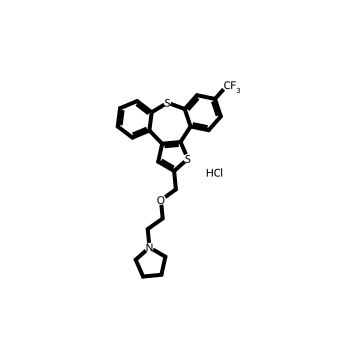 Cl.FC(F)(F)c1ccc2c(c1)Sc1ccccc1-c1cc(COCCN3CCCC3)sc1-2